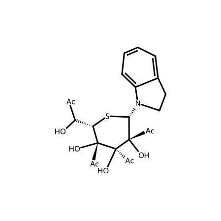 CC(=O)C(O)[C@@H]1S[C@H](N2CCc3ccccc32)[C@@](O)(C(C)=O)[C@](O)(C(C)=O)[C@@]1(O)C(C)=O